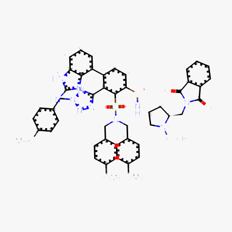 COc1ccc(CN(Cc2ccc(OC)cc2)S(=O)(=O)c2c([S+]([O-])N[C@@H]3C[C@@H](CN4C(=O)c5ccccc5C4=O)N(C(=O)O)C3)ccc(-c3cccc4[nH]c(N)nc34)c2-c2nnn(Cc3ccc(OC)cc3)n2)cc1